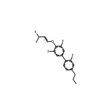 CCCc1ccc(-c2cc(F)c(O/C=C/C(F)F)c(F)c2)c(F)c1